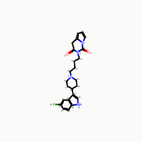 O=C1Cc2cccn2C(=O)N1CCCCN1CCC(c2c[nH]c3ccc(F)cc23)CC1